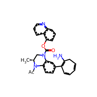 CC(=O)N1c2ccc(C3=C(N)CC=CC=C3)cc2N(C(=O)Oc2cccc3ncccc23)C[C@@H]1C